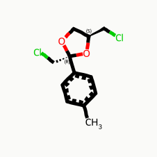 Cc1ccc([C@@]2(CCl)OC[C@@H](CCl)O2)cc1